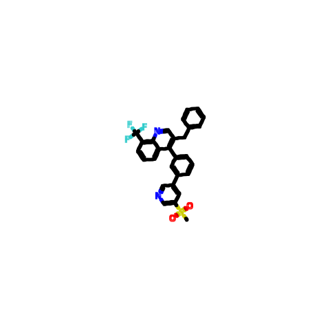 CS(=O)(=O)c1cncc(-c2cccc(-c3c(Cc4ccccc4)cnc4c(C(F)(F)F)cccc34)c2)c1